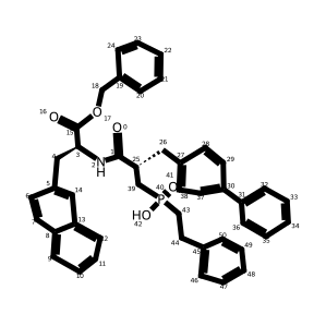 O=C(N[C@@H](Cc1ccc2ccccc2c1)C(=O)OCc1ccccc1)[C@H](Cc1ccc(-c2ccccc2)cc1)CP(=O)(O)CCc1ccccc1